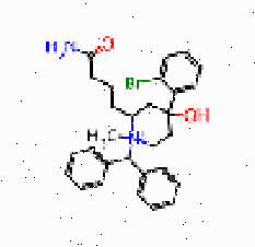 C[N+]1(C(c2ccccc2)c2ccccc2)CCC(O)(c2ccccc2Br)CC1CCCC(N)=O